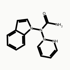 NC(=O)N(N1C=CC=CN1)n1ccc2ccccc21